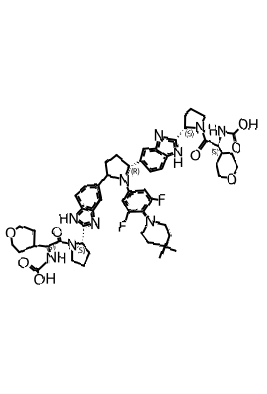 CC1(C)CCN(c2c(F)cc(N3C(c4ccc5[nH]c([C@@H]6CCCN6C(=O)[C@@H](NC(=O)O)C6CCOCC6)nc5c4)CC[C@@H]3c3ccc4[nH]c([C@@H]5CCCN5C(=O)[C@@H](NC(=O)O)C5CCOCC5)nc4c3)cc2F)CC1